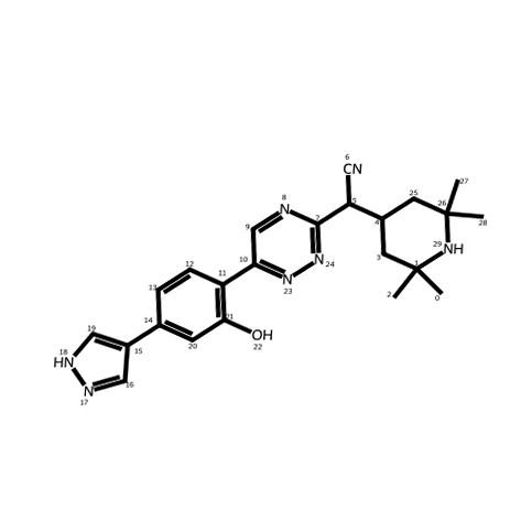 CC1(C)CC(C(C#N)c2ncc(-c3ccc(-c4cn[nH]c4)cc3O)nn2)CC(C)(C)N1